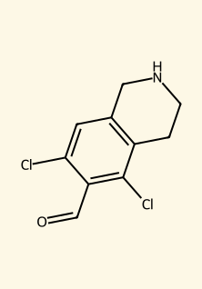 O=Cc1c(Cl)cc2c(c1Cl)CCNC2